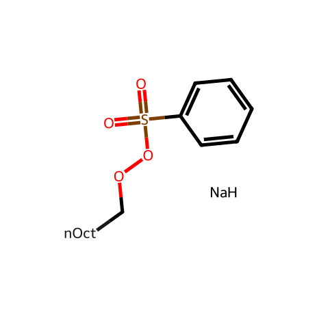 CCCCCCCCCOOS(=O)(=O)c1ccccc1.[NaH]